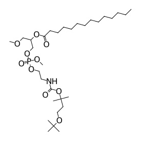 CCCCCCCCCCCCCC(=O)OC(COC)COP(=O)(OC)OCCNC(=O)OC(C)(C)CCOC(C)(C)C